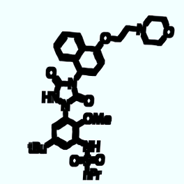 CCCS(=O)(=O)Nc1cc(C(C)(C)C)cc(-n2[nH]c(=O)n(-c3ccc(OCCN4CCOCC4)c4ccccc34)c2=O)c1OC